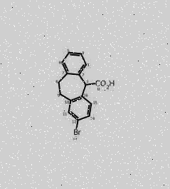 O=C(O)C1c2ccccc2CCc2cc(Br)ccc21